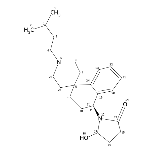 CC(C)CCN1CCC2(CC[C@H](N3C(=O)CCC3O)c3ccccc32)CC1